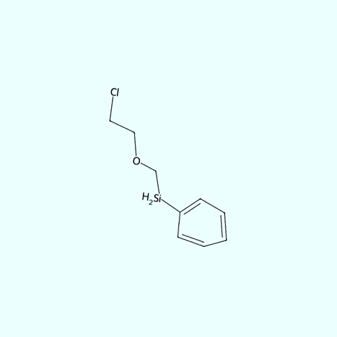 ClCCOC[SiH2]c1ccccc1